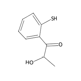 C[C](O)C(=O)c1ccccc1S